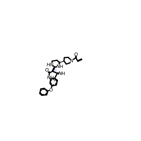 C=CC(=O)N1CCC([C@@H]2CCN/C(=C(/C(=N)c3ccc(Oc4ccccc4)cc3)C(N)=O)N2)CC1